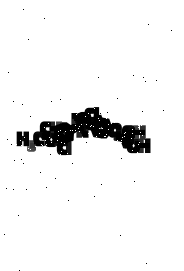 CC(C)Oc1ccc(-c2noc(-c3ccc(OCC(O)CO)cc3Cl)n2)cc1Cl